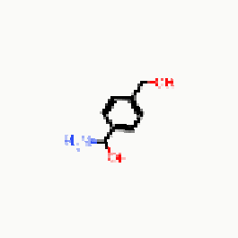 NC(O)c1ccc(CO)cc1